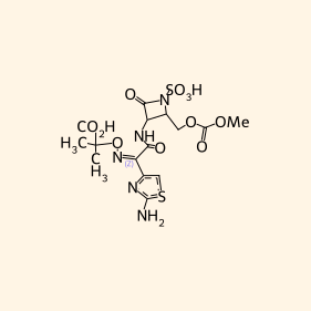 COC(=O)OCC1C(NC(=O)/C(=N\OC(C)(C)C(=O)O)c2csc(N)n2)C(=O)N1S(=O)(=O)O